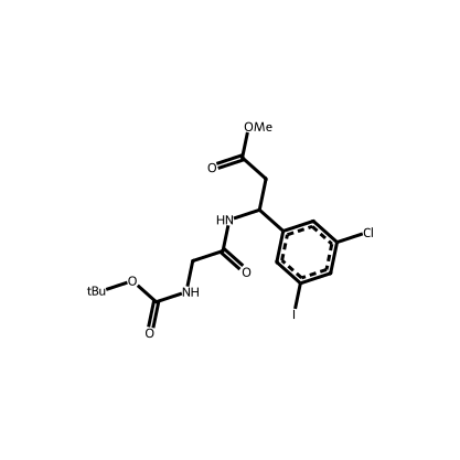 COC(=O)CC(NC(=O)CNC(=O)OC(C)(C)C)c1cc(Cl)cc(I)c1